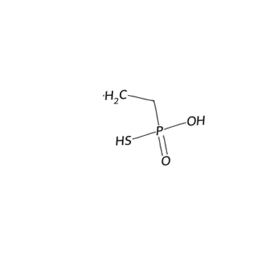 [CH2]CP(=O)(O)S